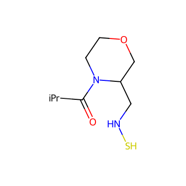 CC(C)C(=O)N1CCOCC1CNS